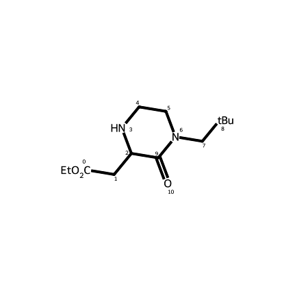 CCOC(=O)CC1NCCN(CC(C)(C)C)C1=O